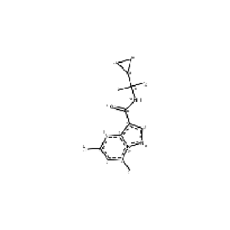 Cc1cc(Cl)nc2c(C(=O)NC(C)(C)C3CC3)cnn12